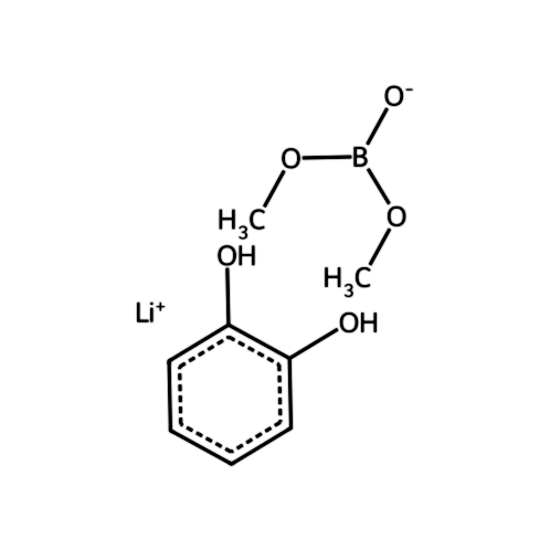 COB([O-])OC.Oc1ccccc1O.[Li+]